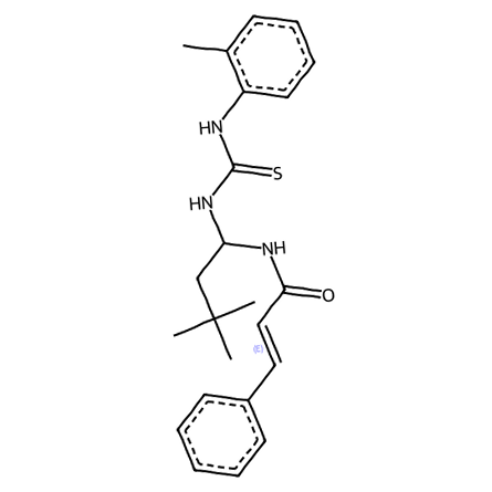 Cc1ccccc1NC(=S)NC(CC(C)(C)C)NC(=O)/C=C/c1ccccc1